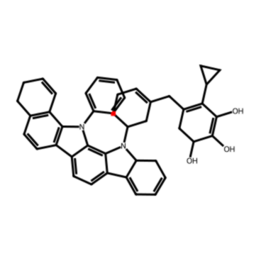 OC1=C(O)C(O)CC(CC2=CCCC(N3c4c(ccc5c6ccc7c(c6n(-c6ccccc6)c45)C=CCC7)C4=CC=CCC43)C2)=C1C1CC1